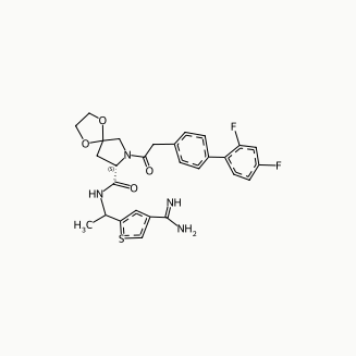 CC(NC(=O)[C@@H]1CC2(CN1C(=O)Cc1ccc(-c3ccc(F)cc3F)cc1)OCCO2)c1cc(C(=N)N)cs1